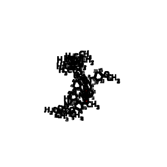 COc1ccc(CN(Cc2ccc(OC)cc2)S(=O)(=O)c2c(S(=O)(=O)CC(CN(C(=O)O)C(C)(C)C)O[Si](C)(C)C(C)(C)C)ccc(N3CCC(CNC(=O)OC(C)(C)C)CC3)c2-c2nnn(Cc3ccc(OC)cc3)n2)cc1